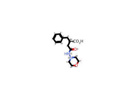 O=C(C[C@@H](Cc1ccccc1)C(=O)O)NN1CCOCC1